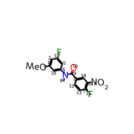 COc1cc(F)cc(N(C)C(=O)c2ccc(F)c([N+](=O)[O-])c2)c1